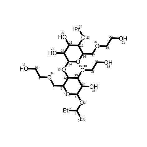 CCC(CC)OC1OC(COCCO)C(OC2OC(COCCO)C(OC(C)C)C(O)C2O)C(OCCO)C1O